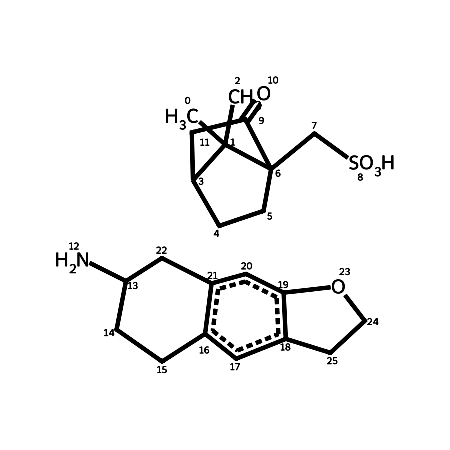 CC1(C)C2CCC1(CS(=O)(=O)O)C(=O)C2.NC1CCc2cc3c(cc2C1)OCC3